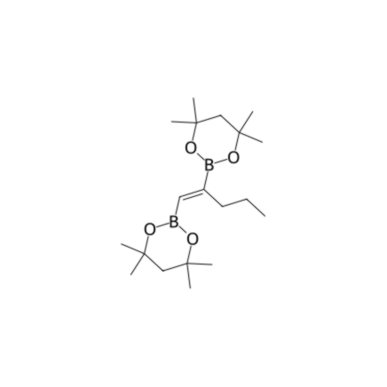 CCCC(=CB1OC(C)(C)CC(C)(C)O1)B1OC(C)(C)CC(C)(C)O1